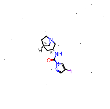 O=C(N[C@@H]1C[C@@H]2CCN(C2)C1)n1cc(I)cn1